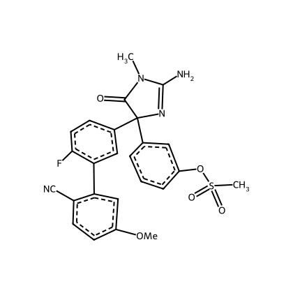 COc1ccc(C#N)c(-c2cc(C3(c4cccc(OS(C)(=O)=O)c4)N=C(N)N(C)C3=O)ccc2F)c1